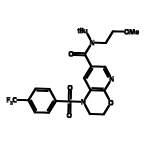 COCCN(C(=O)c1cnc2c(c1)N(S(=O)(=O)c1ccc(C(F)(F)F)cc1)CCO2)C(C)(C)C